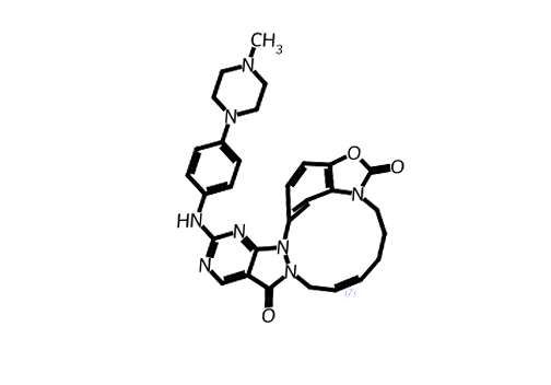 CN1CCN(c2ccc(Nc3ncc4c(=O)n5n(c4n3)-c3ccc4oc(=O)n(c4c3)CCC/C=C\C5)cc2)CC1